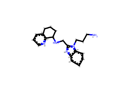 NCCCn1c(CNC2CCCc3cccnc32)nc2ccccc21